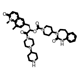 Cc1cc(C[C@@H](OC(=O)N2CCC(N3CCc4ccccc4NC3=O)CC2)C(=O)N2CCN(C3CCNCC3)CC2)cc2ccc(=O)n(C)c12